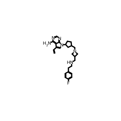 C=Cc1cn(C2CCC(CN3CC(CNCCc4ccc(F)cc4)C3)C2)c2ncnc(N)c12